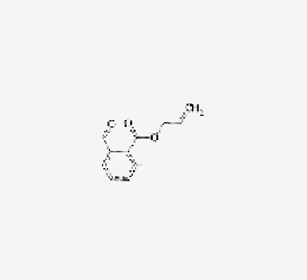 C=CCOC(=O)c1[c]cccc1C=O